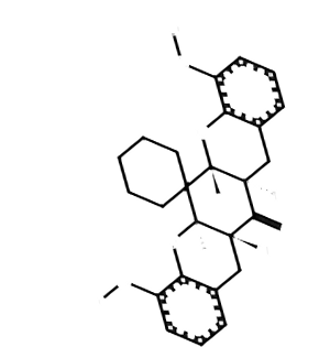 CCOc1cccc2c1O[C@@H]1[C@@H](C2)C(=O)[C@@H]2Cc3cccc(OCC)c3O[C@H]2C12CCCCC2